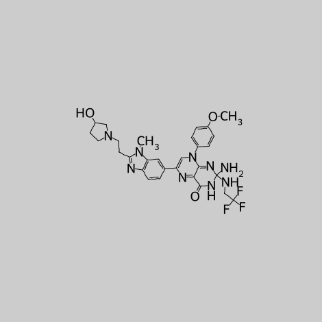 COc1ccc(N2C=C(c3ccc4nc(CCN5CCC(O)C5)n(C)c4c3)N=C3C(=O)NC(N)(NCC(F)(F)F)N=C32)cc1